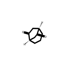 O=C1C[C@H]2CCC[C@@H]1CC2=O